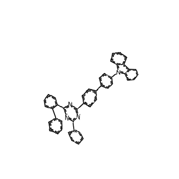 c1ccc(-c2nc(-c3ccc(-c4ccc(-n5c6ccccc6c6ccccc65)cc4)cc3)nc(-c3ccccc3-c3ccccc3)n2)cc1